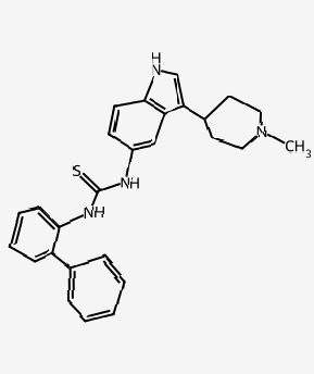 CN1CCC(c2c[nH]c3ccc(NC(=S)Nc4ccccc4-c4ccccc4)cc23)CC1